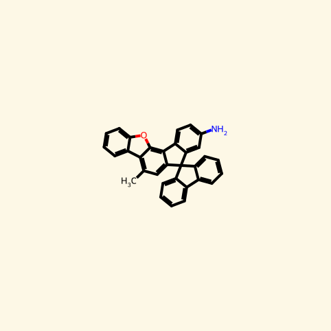 Cc1cc2c(c3oc4ccccc4c13)-c1ccc(N)cc1C21c2ccccc2-c2ccccc21